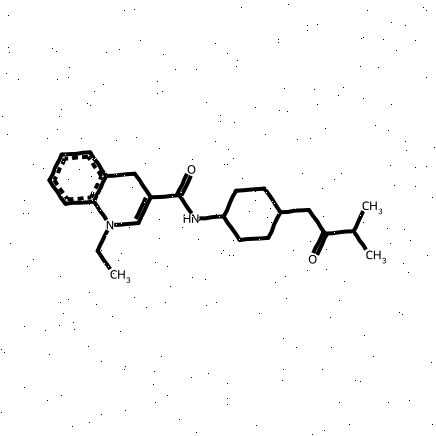 CCN1C=C(C(=O)NC2CCC(CC(=O)C(C)C)CC2)Cc2ccccc21